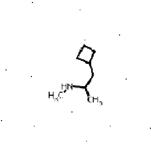 CNC(C)CC1CCC1